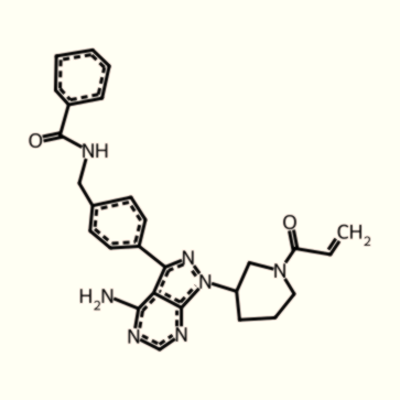 C=CC(=O)N1CCCC(n2nc(-c3ccc(CNC(=O)c4ccccc4)cc3)c3c(N)ncnc32)C1